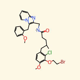 COc1ccccc1Cc1c(C[N]C(=O)CCC(C)Cc2ccc(OC)c(OCCBr)c2Cl)nc2ccccn12